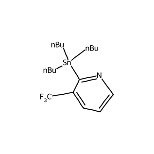 CCC[CH2][Sn]([CH2]CCC)([CH2]CCC)[c]1ncccc1C(F)(F)F